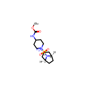 CC(C)(C)OC(=O)NC1CCN(S(=O)(=O)N2[C@@H]3CC[C@H]2C[C@H](N)C3)CC1